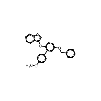 COc1ccc(-c2cc(OCc3ccccc3)ccc2Oc2csc3ccccc23)cc1